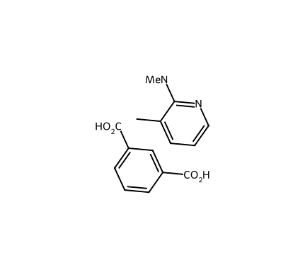 CNc1ncccc1C.O=C(O)c1cccc(C(=O)O)c1